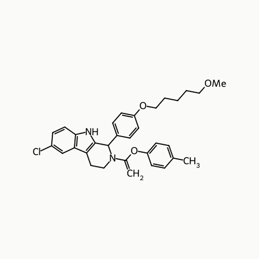 C=C(Oc1ccc(C)cc1)N1CCc2c([nH]c3ccc(Cl)cc23)C1c1ccc(OCCCCCOC)cc1